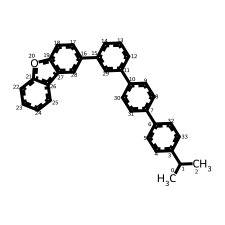 CC(C)c1ccc(-c2ccc(-c3cccc(-c4ccc5oc6ccccc6c5c4)c3)cc2)cc1